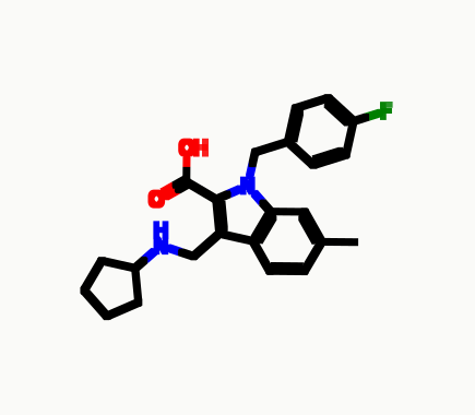 Cc1ccc2c(CNC3CCCC3)c(C(=O)O)n(Cc3ccc(F)cc3)c2c1